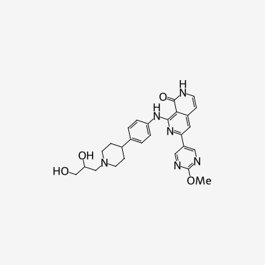 COc1ncc(-c2cc3cc[nH]c(=O)c3c(Nc3ccc(C4CCN(CC(O)CO)CC4)cc3)n2)cn1